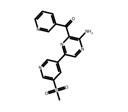 CS(=O)(=O)c1cncc(-c2cnc(N)c(C(=O)c3cccnc3)n2)c1